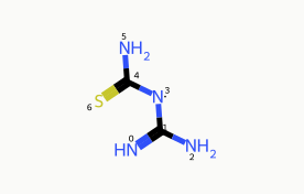 N=C(N)[N]C(N)=S